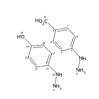 NNc1ccc(C(=O)O)cc1.NNc1ccc(O)cc1